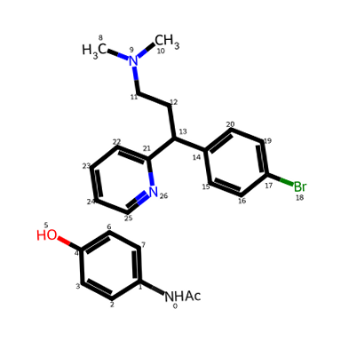 CC(=O)Nc1ccc(O)cc1.CN(C)CCC(c1ccc(Br)cc1)c1ccccn1